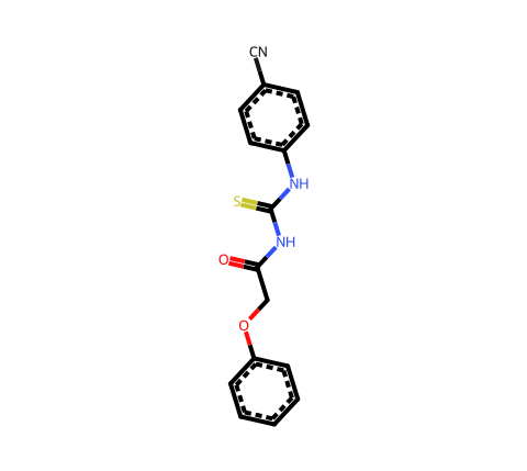 N#Cc1ccc(NC(=S)NC(=O)COc2ccccc2)cc1